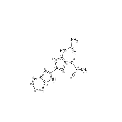 NC(=O)Nc1sc(-c2cc3ccccc3[nH]2)cc1OC(N)=O